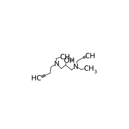 C#CCCN(CC)CC(O)CN(CC)CC#C